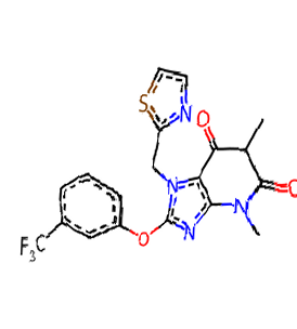 CC1C(=O)c2c(nc(Oc3cccc(C(F)(F)F)c3)n2Cc2nccs2)N(C)C1=O